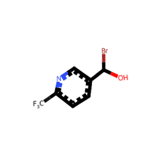 OC(Br)c1ccc(C(F)(F)F)nc1